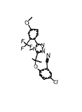 COc1ccc(-c2nnc(C(C)(C)Oc3ccc(Cl)cc3C#N)n2C)c(C(F)(F)F)c1